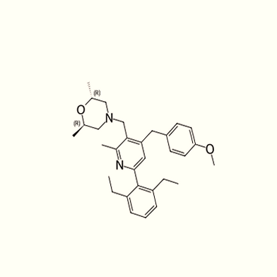 CCc1cccc(CC)c1-c1cc(Cc2ccc(OC)cc2)c(CN2C[C@@H](C)O[C@H](C)C2)c(C)n1